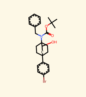 CC(C)(C)OC(=O)N(Cc1ccccc1)C12CCC(c3ccc(Br)cc3)(CC1)CC2O